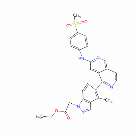 CCOC(=O)Cn1ncc2c(C)c(-c3nccc4cnc(Nc5ccc(S(C)(=O)=O)cc5)cc34)ccc21